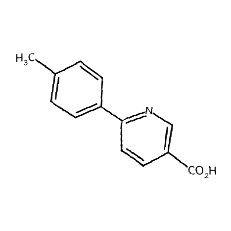 Cc1ccc(-c2ccc(C(=O)O)cn2)cc1